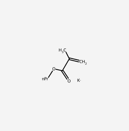 C=C(C)C(=O)OCCC.[K]